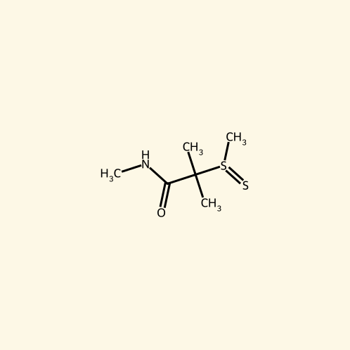 CNC(=O)C(C)(C)S(C)=S